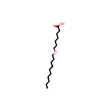 CCCCCCCCCCOCCCCCCC(=O)O